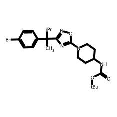 CC(C)C(C)(c1ccc(Br)cc1)c1noc(N2CCC(NC(=O)OC(C)(C)C)CC2)n1